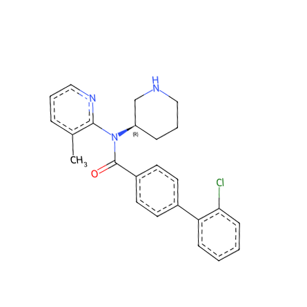 Cc1cccnc1N(C(=O)c1ccc(-c2ccccc2Cl)cc1)[C@@H]1CCCNC1